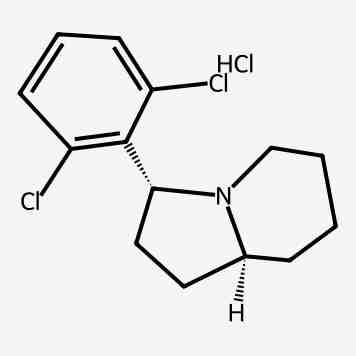 Cl.Clc1cccc(Cl)c1[C@H]1CC[C@@H]2CCCCN21